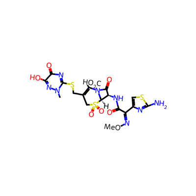 CO/N=C(\C(=O)N[C@@H]1C(=O)N2C(C(=O)O)=C(CSc3nc(=O)c(O)nn3C)CS(=O)(=O)[C@H]12)c1csc(N)n1